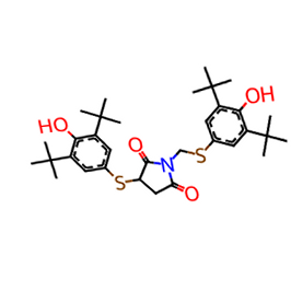 CC(C)(C)c1cc(SCN2C(=O)CC(Sc3cc(C(C)(C)C)c(O)c(C(C)(C)C)c3)C2=O)cc(C(C)(C)C)c1O